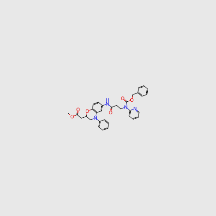 COC(=O)CC1CN(c2ccccc2)c2cc(NC(=O)CCN(C(=O)OCc3ccccc3)c3ccccn3)ccc2O1